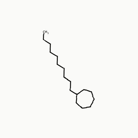 CCCCCCCCCC[C]1CCCCCC1